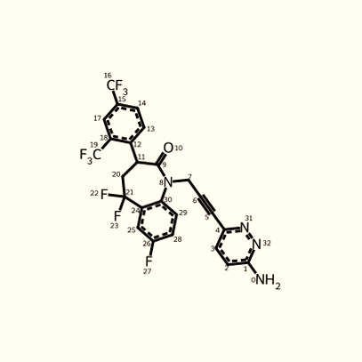 Nc1ccc(C#CCN2C(=O)C(c3ccc(C(F)(F)F)cc3C(F)(F)F)CC(F)(F)c3cc(F)ccc32)nn1